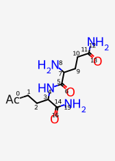 CC(=O)CCC(NC(=O)C(N)CCC(N)=O)C(N)=O